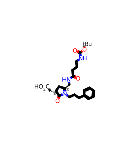 CC(C)(C)OC(=O)NCCCC(=O)NC[C@@H]1C[C@@H](CC(=O)O)C(=O)N1CCCc1ccccc1